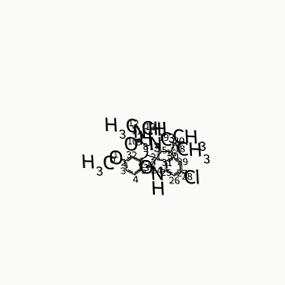 COc1cccc(C2C(C(=O)N(C)C)NC(CC(C)(C)C)C23C(=O)Nc2cc(Cl)ccc23)c1